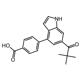 CC(C)(C)C(=O)c1cc(-c2ccc(C(=O)O)cc2)c2cc[nH]c2c1